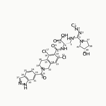 [C-]#[N+]/N=C(\NC[C@H](NC(=O)c1c(Cl)cc2c(c1Cl)CCN(C(=O)c1ccc3cn[nH]c3c1)C2)C(=O)O)N1CC[C@H](O)C1